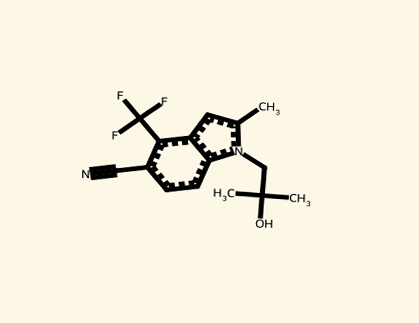 Cc1cc2c(C(F)(F)F)c(C#N)ccc2n1CC(C)(C)O